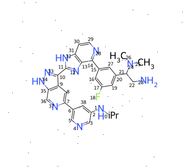 CC(C)Nc1cncc(-c2cc3c(-c4nc5c(-c6cc(F)cc(C(CN)N(C)C)c6)nccc5[nH]4)n[nH]c3cn2)c1